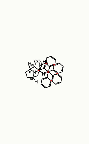 O=C(O)[C@@H]1[C@H]2CC[C@@H](CN1C(=O)N(c1ccccc1)c1ccccc1)N2c1nc(-c2ccccc2)c2ccccc2n1